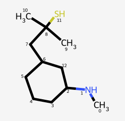 CNC1CCCC(CC(C)(C)S)C1